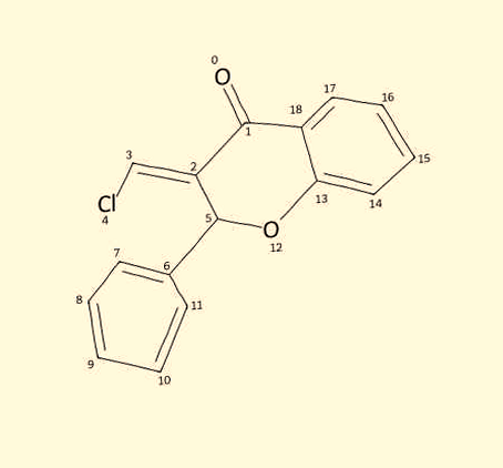 O=C1/C(=C/Cl)C(c2ccccc2)Oc2ccccc21